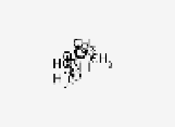 CC[C@@H]1C[C@H](C(NC(=O)OC)C(=O)O)C[C@@H](C)O1